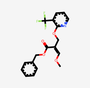 COC=C(COc1ncccc1C(F)(F)F)C(=O)OCc1ccccc1